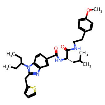 CCC(CC)n1c(Cc2cccs2)nc2cc(C(=O)N[C@@H](CC(C)C)C(=O)NCCc3ccc(OC)cc3)ccc21